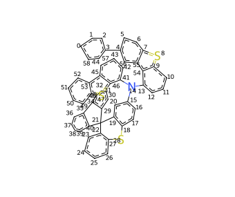 c1ccc(-c2ccc3sc4cccc(N(c5ccc6c(c5)C5(c7ccccc7S6)c6ccccc6-c6ccccc65)c5cccc6c5sc5ccccc56)c4c3c2)cc1